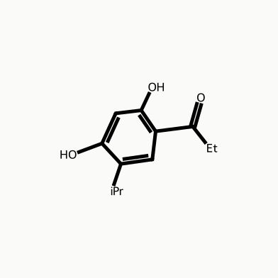 CCC(=O)c1cc(C(C)C)c(O)cc1O